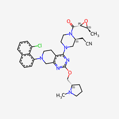 C[C@@H]1O[C@H]1C(=O)N1CCN(c2nc(OC[C@@H]3CCCN3C)nc3c2CCN(c2cccc4cccc(Cl)c24)C3)C[C@@H]1CC#N